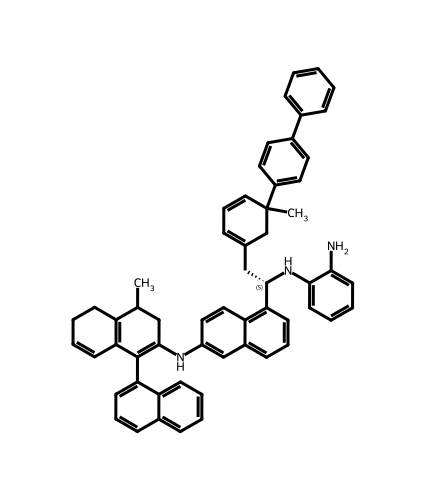 CC1CC(Nc2ccc3c([C@H](CC4=CC=CC(C)(c5ccc(-c6ccccc6)cc5)C4)Nc4ccccc4N)cccc3c2)=C(c2cccc3ccccc23)C2=C1CCC=C2